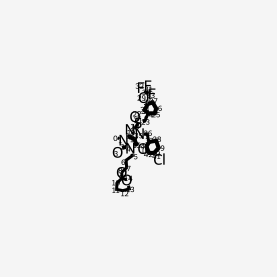 Cn1c(=O)n(CCCOC2CCCCO2)c(=O)c2c1nc([S+]([O-])Cc1cccc(OC(F)(F)F)c1)n2Cc1ccc(Cl)cc1